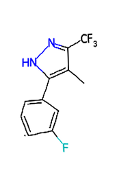 Cc1c(C(F)(F)F)n[nH]c1-c1cc[c]c(F)c1